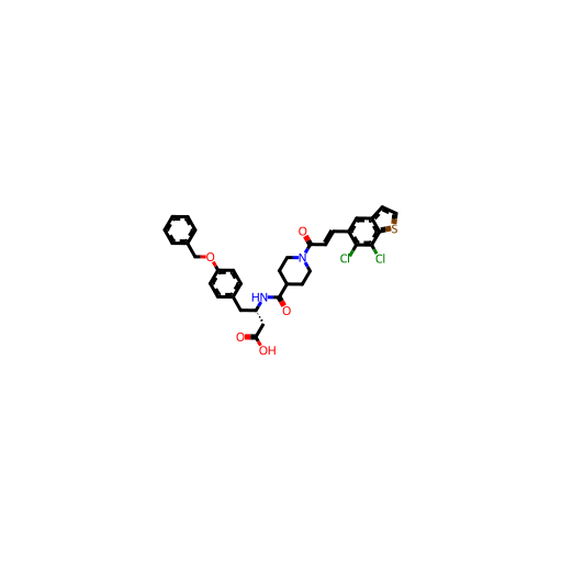 O=C(O)C[C@H](Cc1ccc(OCc2ccccc2)cc1)NC(=O)C1CCN(C(=O)/C=C/c2cc3ccsc3c(Cl)c2Cl)CC1